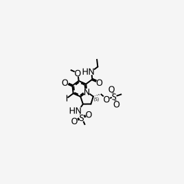 CCNC(=O)c1c(OC)c(=O)c(I)c2n1[C@H](COS(C)(=O)=O)CC2NS(C)(=O)=O